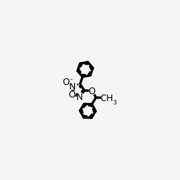 CC(Oc1no[n+]([O-])c1-c1ccccc1)c1ccccc1